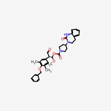 COC(OC(=O)N1CCC(N2CCc3ccccc3NC2=O)CC1)[C@H](C=O)c1cc(C)c(OCc2ccccc2)c(C)c1